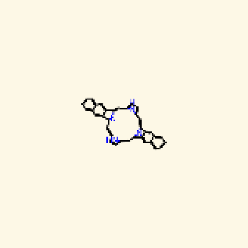 c1ccc2cc3c(cc2c1)-c1cc2ccc(cc4nc(cc5ccc(cc-3n1)[nH]5)-c1cc3ccccc3cc1-4)[nH]2